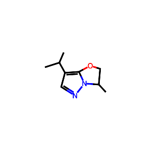 CC(C)c1cnn2c1OCC2C